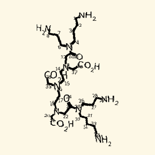 NCCCCN(CCCN)C(=O)CN(CCN(CCN(CC(=O)O)CC(=O)N(CCCN)CCCCN)CC(=O)O)CC(=O)O